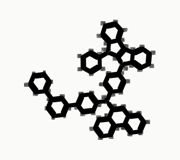 c1ccc(-c2cccc(-c3ccc(N(c4ccc(-n5c6ccccc6c6c7ccccc7n(-c7ccccc7)c65)cc4)c4cc5ccccc5c5ccccc45)cc3)c2)cc1